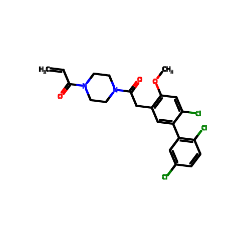 C=CC(=O)N1CCN(C(=O)Cc2cc(-c3cc(Cl)ccc3Cl)c(Cl)cc2OC)CC1